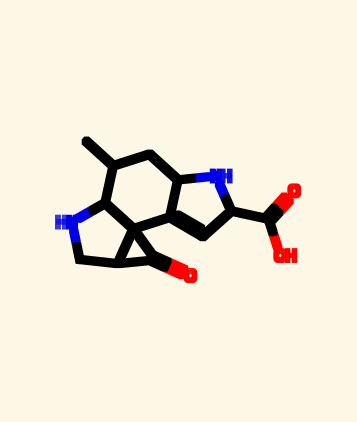 CC1CC2NC(C(=O)O)C=C2C23C(=O)C2CNC13